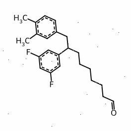 Cc1ccc(CC(CCCCCCC=O)c2cc(F)cc(F)c2)cc1C